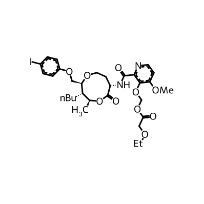 CCCC[C@H]1[C@H](C)OC(=O)[C@@H](NC(=O)c2nccc(OC)c2OCOC(=O)COCC)CCO[C@@H]1COc1ccc(I)cc1